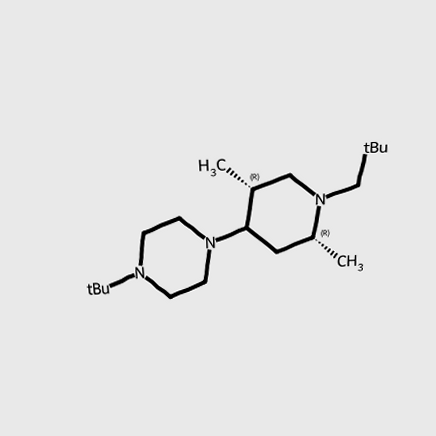 C[C@@H]1CN(CC(C)(C)C)[C@H](C)CC1N1CCN(C(C)(C)C)CC1